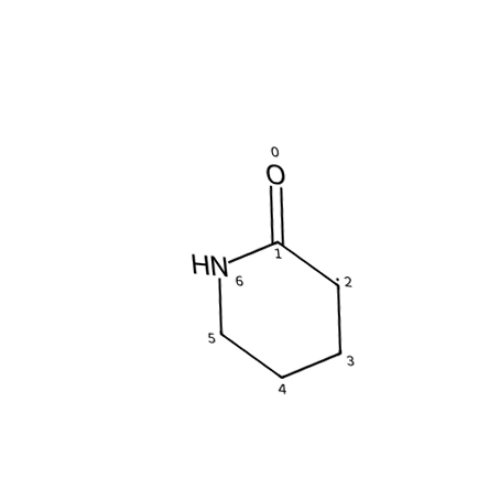 O=C1[CH]CCCN1